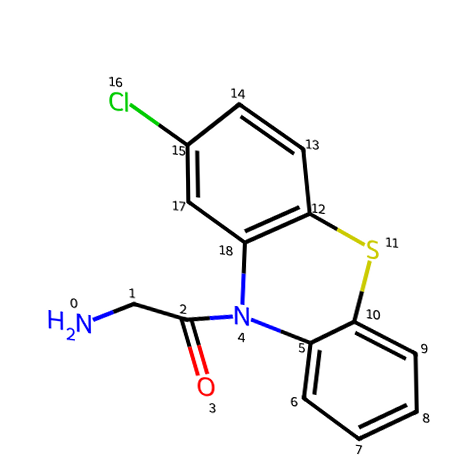 NCC(=O)N1c2ccccc2Sc2ccc(Cl)cc21